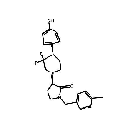 Cc1ccc(CN2CC[C@@H](N3CC[C@H](c4ccc(O)cc4)C(F)(F)C3)C2=O)cc1